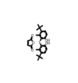 Cc1c(C(C)(C)C)ccc(O)c1Sc1c(O)ccc(C(C)(C)C)c1C.O=C1C=CC(=O)O1